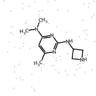 Cc1cc(N(C)C)nc(NC2CNC2)n1